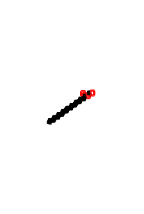 CCCCCCCCC=CCCCCCCCC(=O)OC=O